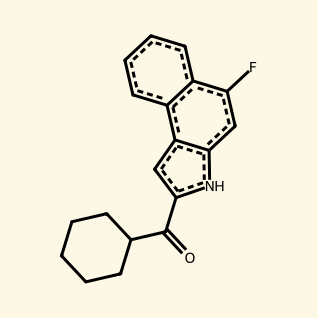 O=C(c1cc2c(cc(F)c3ccccc32)[nH]1)C1CCCCC1